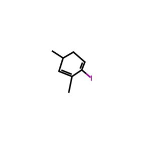 CC1=CC(C)CC=C1I